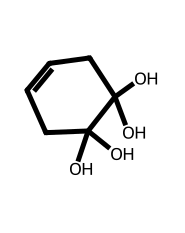 OC1(O)CC=CCC1(O)O